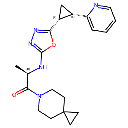 C[C@@H](Nc1nnc([C@@H]2C[C@@H]2c2ccccn2)o1)C(=O)N1CCC2(CC1)CC2